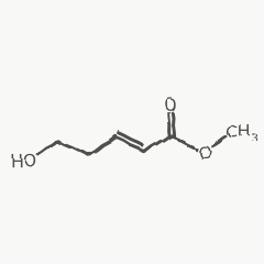 COC(=O)C=CCCO